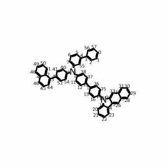 c1ccc(-c2cccc(N(c3ccc(-c4ccc(-n5c6ccccc6c6cc7ccccc7cc65)cc4)cc3)c3ccc(-c4cccc5ccccc45)cc3)c2)cc1